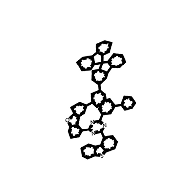 c1ccc(-c2cccc(-c3nc(-c4cccc5oc6ccc(-c7cccc(-c8ccc9c(c8)-c8ccccc8C98c9ccccc9-c9ccccc98)c7)cc6c45)nc(-c4cccc5sc6ccccc6c45)n3)c2)cc1